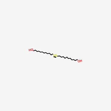 C=C.OCCCCCCCCCCCCSSCCCCCCCCCCCCO